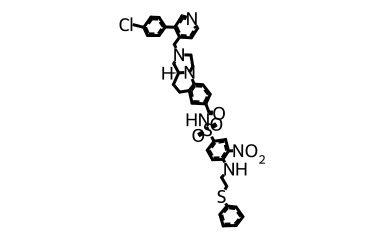 O=C(NS(=O)(=O)c1ccc(NCCSc2ccccc2)c([N+](=O)[O-])c1)c1ccc2c(c1)CC[C@H]1CN(Cc3ccncc3-c3ccc(Cl)cc3)CCN21